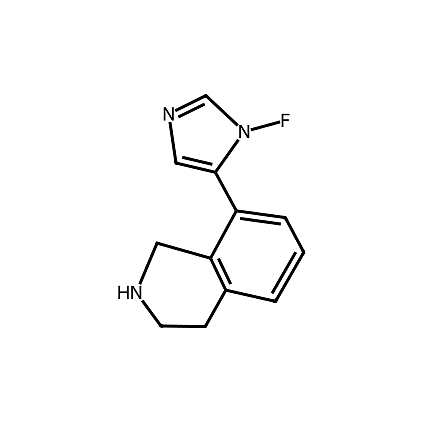 Fn1cncc1-c1cccc2c1CNCC2